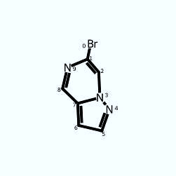 Brc1cn2nccc2cn1